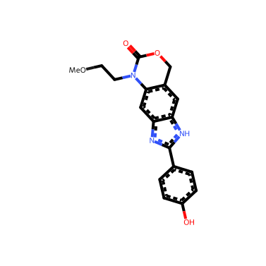 COCCN1C(=O)OCc2cc3[nH]c(-c4ccc(O)cc4)nc3cc21